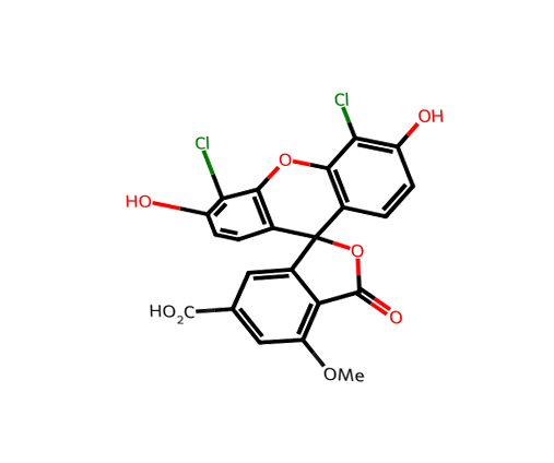 COc1cc(C(=O)O)cc2c1C(=O)OC21c2ccc(O)c(Cl)c2Oc2c1ccc(O)c2Cl